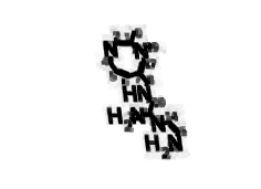 Cc1cncccc(CNC/C(N)=N\C=C/N)cn1C